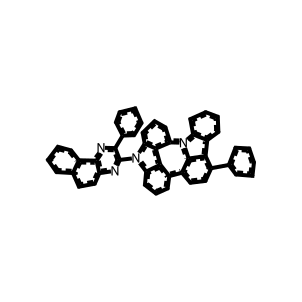 c1ccc(-c2nc3c(ccc4ccccc43)nc2-n2c3cccc4c5ccc(-c6ccccc6)c6c7ccccc7n(c7cccc2c7c43)c56)cc1